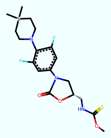 COC(=S)NC[C@H]1CN(c2cc(F)c(N3CC[Si](C)(C)CC3)c(F)c2)C(=O)O1